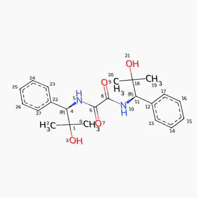 CC(C)(O)[C@H](NC(=O)C(=O)N[C@H](c1ccccc1)C(C)(C)O)c1ccccc1